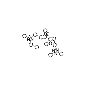 c1ccc(-c2cccc(-c3nc(-c4ccccc4)nc(-c4cccc(-c5ccc6cc(-c7cc8cccc(-c9ccc(-c%10nc(-c%11ccccc%11)nc(-c%11ccccc%11)n%10)cc9)c8c8oc9ccccc9c78)c7oc8ccccc8c7c6c5)c4)n3)c2)cc1